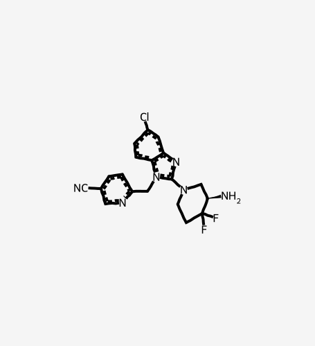 N#Cc1ccc(Cn2c(N3CCC(F)(F)[C@H](N)C3)nc3cc(Cl)ccc32)nc1